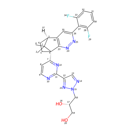 CC1(C)[C@H]2CC[C@]1(c1ccnc(-c3cnn(C[C@@H](O)CO)n3)n1)c1nnc(-c3c(F)cccc3F)cc12